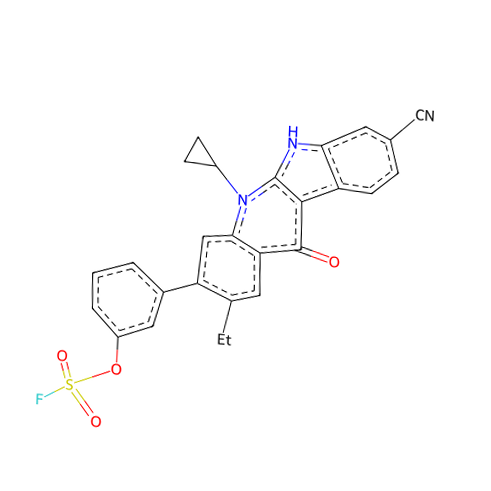 CCc1cc2c(=O)c3c4ccc(C#N)cc4[nH]c3n(C3CC3)c2cc1-c1cccc(OS(=O)(=O)F)c1